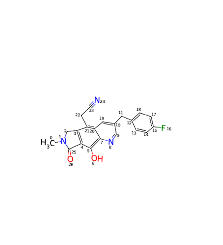 CN1Cc2c(c(O)c3ncc(Cc4ccc(F)cc4)cc3c2CC#N)C1=O